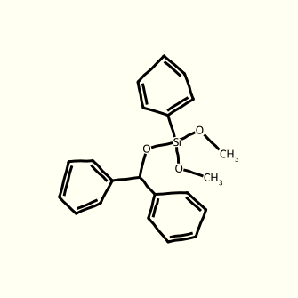 CO[Si](OC)(OC(c1ccccc1)c1ccccc1)c1ccccc1